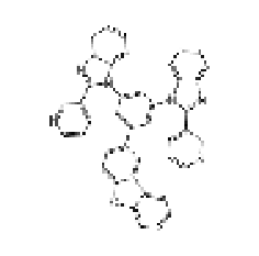 c1cncc(-c2nc3ccccc3n2-c2cc(-c3ccc4oc5ccccc5c4c3)cc(-n3c(-c4cccnc4)nc4ccccc43)c2)c1